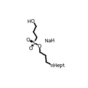 CCCCCCCCCCOS(=O)(=O)CCCO.[NaH]